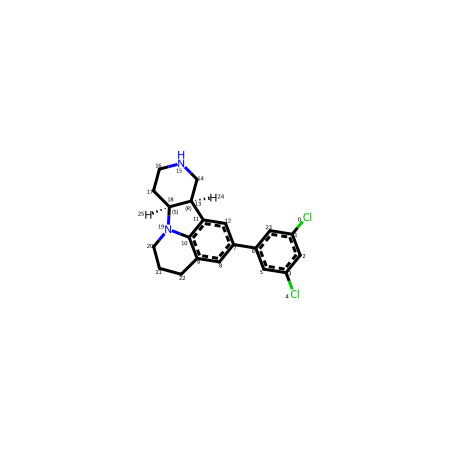 Clc1cc(Cl)cc(-c2cc3c4c(c2)[C@@H]2CNCC[C@@H]2N4CCC3)c1